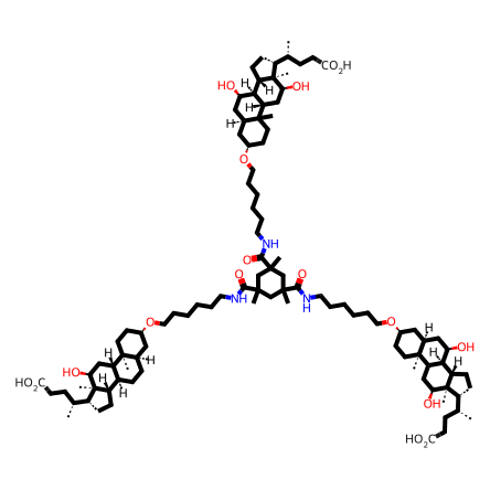 C[C@H](CCC(=O)O)[C@H]1CC[C@H]2[C@@H]3CC[C@@H]4C[C@@H](OCCCCCCNC(=O)C5(C)CC(C)(C(=O)NCCCCCCO[C@H]6CCC7(C)[C@@H](C6)C[C@@H](O)[C@@H]6[C@@H]7C[C@H](O)[C@]7(C)[C@@H]([C@H](C)CCC(=O)O)CC[C@@H]67)CC(C)(C(=O)NCCCCCCO[C@H]6CC[C@]7(C)C8C[C@H](O)[C@]9(C)[C@@H]([C@H](C)CCC(=O)O)CC[C@H]9[C@@H]8[C@H](O)C[C@@H]7C6)C5)CC[C@]4(C)[C@H]3C[C@H](O)[C@]12C